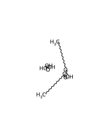 CCCCCCCCCCCCCCCCOCC(CO)OC(=O)CCCCCCCCCCCCCCC.O=P(O)(O)O